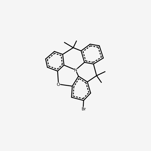 CC1(C)c2cccc3c2N2c4c(cc(Br)cc4C(C)(C)c4cccc1c42)O3